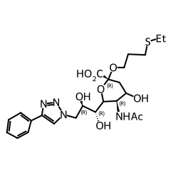 CCSCCCO[C@]1(C(=O)O)CC(O)[C@@H](NC(C)=O)C([C@H](O)[C@H](O)Cn2cc(-c3ccccc3)nn2)O1